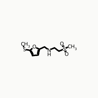 CSc1ccc(CNCCS(C)(=O)=O)o1